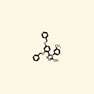 Cc1cccc(-n2c(O)nnc2-c2ccc(OCc3ccccc3)cc2OCc2ccccc2)c1